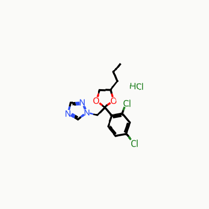 CCCC1COC(Cn2cncn2)(c2ccc(Cl)cc2Cl)O1.Cl